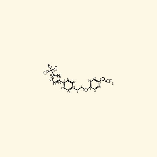 FC(F)(F)Oc1ccc(OCCc2ccc(-c3noc(C(F)(F)Cl)n3)cc2)cc1